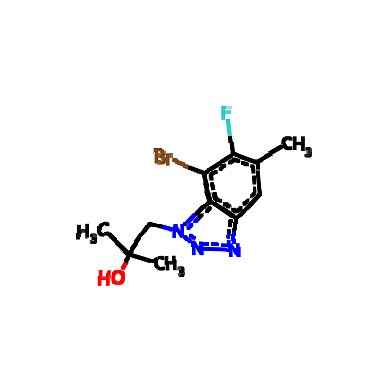 Cc1cc2nnn(CC(C)(C)O)c2c(Br)c1F